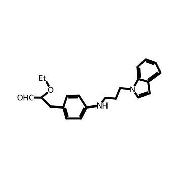 CCOC(C=O)Cc1ccc(NCCCn2ccc3ccccc32)cc1